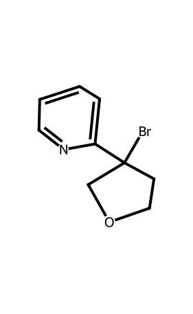 BrC1(c2ccccn2)CCOC1